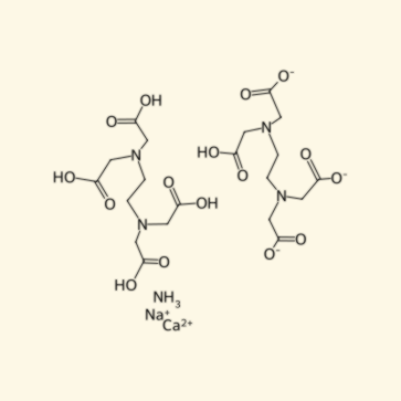 N.O=C(O)CN(CCN(CC(=O)O)CC(=O)O)CC(=O)O.O=C([O-])CN(CCN(CC(=O)[O-])CC(=O)O)CC(=O)[O-].[Ca+2].[Na+]